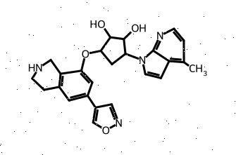 Cc1ccnc2c1ccn2C1CC(Oc2cc(-c3cnoc3)cc3c2CNCC3)C(O)C1O